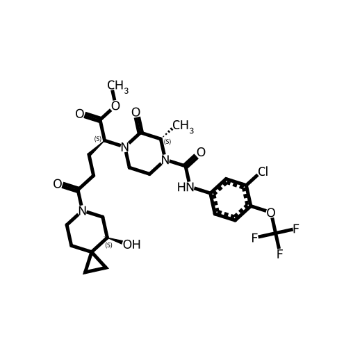 COC(=O)[C@H](CCC(=O)N1CCC2(CC2)[C@H](O)C1)N1CCN(C(=O)Nc2ccc(OC(F)(F)F)c(Cl)c2)[C@@H](C)C1=O